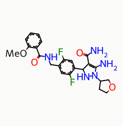 COc1ccccc1C(=O)NCc1cc(F)c(C2NN(C3CCOC3)C(N)=C2C(N)=O)cc1F